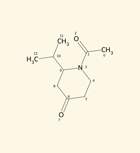 CC(=O)N1CCC(=O)CC1C(C)C